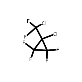 FC(F)(Cl)C1(Cl)C(F)(F)C1(F)F